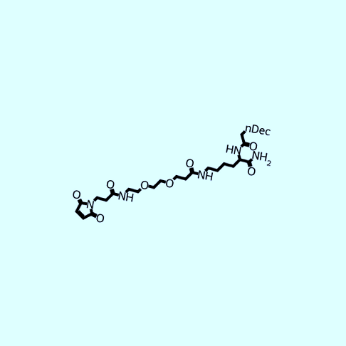 CCCCCCCCCCCC(=O)NC(CCCCNC(=O)CCOCCOCCNC(=O)CCN1C(=O)C=CC1=O)C(N)=O